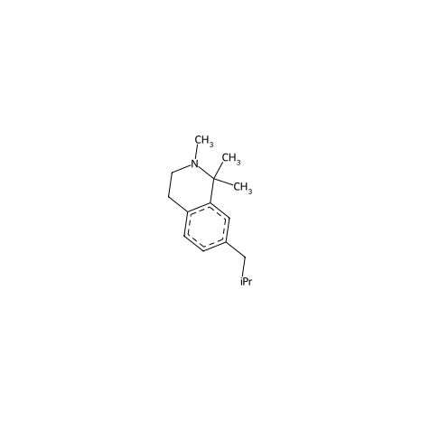 CC(C)Cc1ccc2c(c1)C(C)(C)N(C)CC2